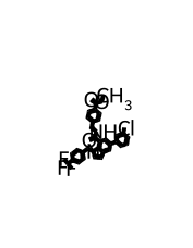 COC(=O)c1ccc(CNC(=O)c2cc(-c3cccc(Cl)c3)cc3ccn(Cc4ccc(C(F)(F)F)cc4)c23)cc1